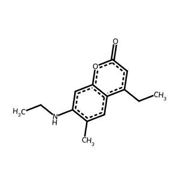 CCNc1cc2oc(=O)cc(CC)c2cc1C